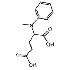 CN(c1ccccc1)C(CCC(=O)O)C(=O)O